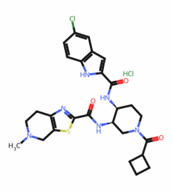 CN1CCc2nc(C(=O)N[C@@H]3CN(C(=O)C4CCC4)CC[C@@H]3NC(=O)c3cc4cc(Cl)ccc4[nH]3)sc2C1.Cl